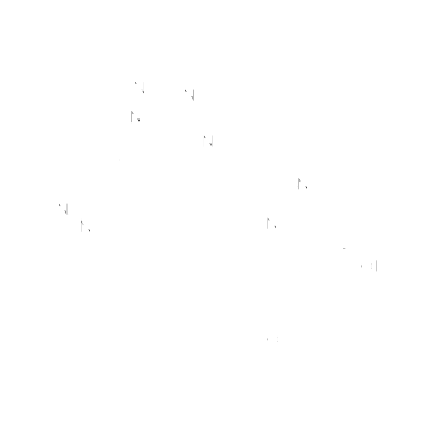 COc1ccc(C(C)(O)c2cnc(C3=CCN(c4ncnn5cc(-c6cnn(C)c6)cc45)CC3)nc2)cc1